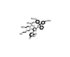 COc1ccc(C(OC[C@H]2O[C@@H](n3ccc(=O)[nH]c3=O)[C@H](OCOCCC#N)[C@@H]2OP(OCCC#N)N(C(C)C)C(C)C)(c2ccccc2)c2ccc(OC)cc2)cc1